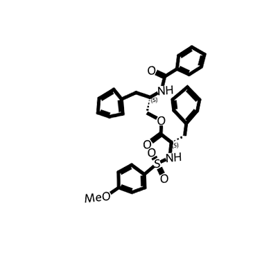 COc1ccc(S(=O)(=O)N[C@@H](Cc2ccccc2)C(=O)OC[C@H](Cc2ccccc2)NC(=O)c2ccccc2)cc1